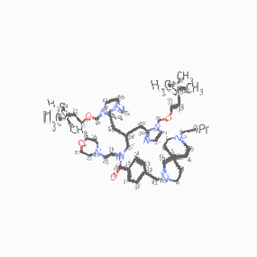 CC(C)CN1CCC2(CC1)CCN(Cc1ccc(C(=O)N(CCN3CCOCC3)CC(Cc3nccn3COCC[Si](C)(C)C)Cc3nccn3COCC[Si](C)(C)C)cc1)C2